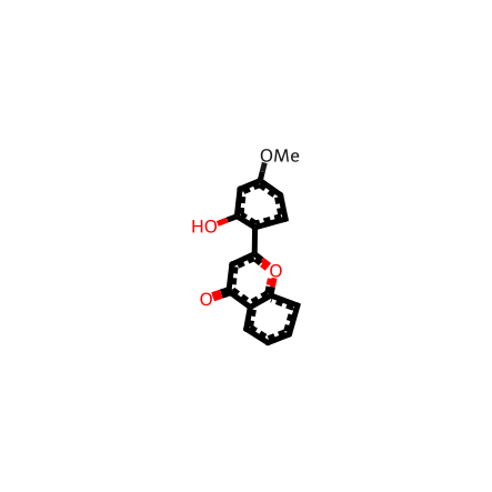 COc1ccc(-c2cc(=O)c3ccccc3o2)c(O)c1